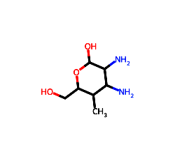 CC1C(CO)OC(O)C(N)C1N